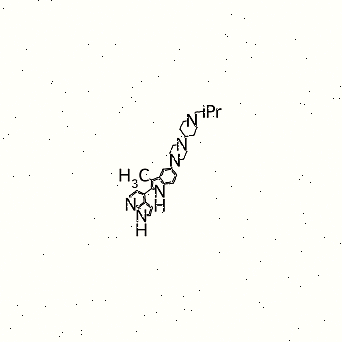 Cc1c(-c2ccnc3[nH]ccc23)[nH]c2ccc(N3CCN(C4CCN(CC(C)C)CC4)CC3)cc12